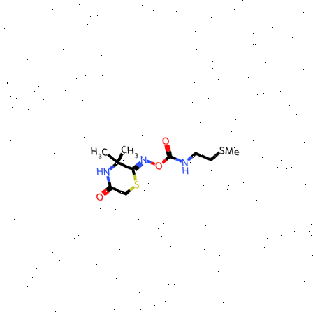 CSCCNC(=O)ON=C1SCC(=O)NC1(C)C